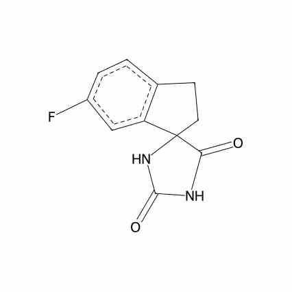 O=C1NC(=O)C2(CCc3ccc(F)cc32)N1